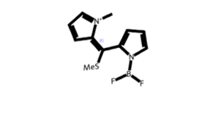 CS/C(=C1\C=CC=[N+]1C)c1cccn1B(F)F